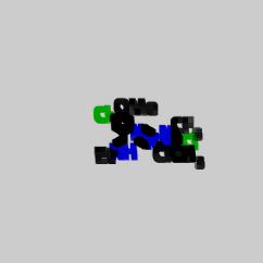 CCNCCc1cc(Cl)c(OC)cc1N1CCN(C(C=O)n2nc(C(F)(F)F)c(Cl)c2C)CC1